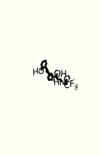 O=C(NCCC(O)c1cccc(C#CC2CCCCC2O)c1)C(F)(F)F